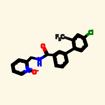 O=C(NCc1cccc[n+]1[O-])c1cccc(-c2ccc(Cl)cc2C(F)(F)F)c1